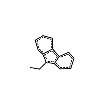 CCn1c2cc[c]cc2c2ccccc21